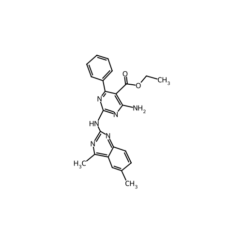 CCOC(=O)c1c(N)nc(Nc2nc(C)c3cc(C)ccc3n2)nc1-c1ccccc1